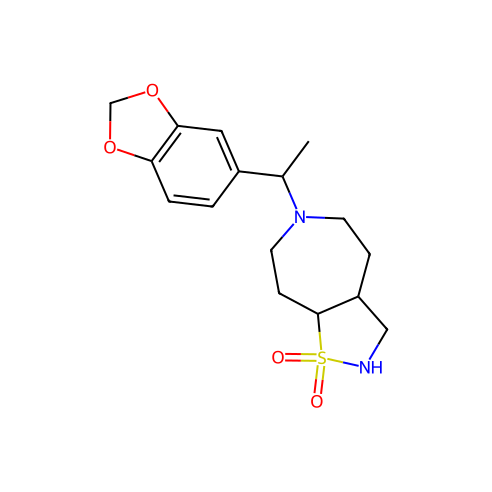 CC(c1ccc2c(c1)OCO2)N1CCC2CNS(=O)(=O)C2CC1